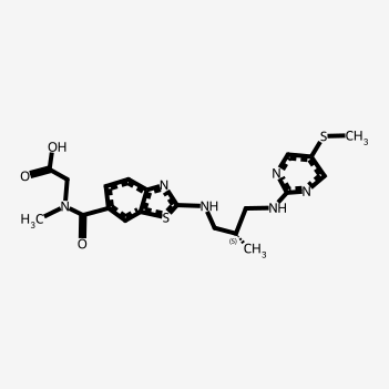 CSc1cnc(NC[C@H](C)CNc2nc3ccc(C(=O)N(C)CC(=O)O)cc3s2)nc1